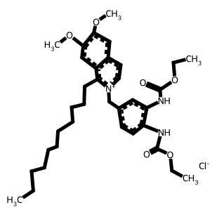 CCCCCCCCCCCc1c2cc(OC)c(OC)cc2cc[n+]1Cc1ccc(NC(=O)OCC)c(NC(=O)OCC)c1.[Cl-]